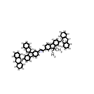 CC1(C)c2cc(/C=C/c3ccc4c(c3)C3(Cc5ccccc5C3)c3cc(N5C6=C(CCC=C6)Cc6ccccc65)ccc3-4)ccc2-c2ccc(N3C4=C(C=CCC4)Cc4ccccc43)cc21